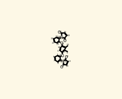 Cc1c(Oc2ccccc2N2C(=O)C=CC2=O)ccc(Oc2ccccc2N2C(=O)C=CC2=O)c1C